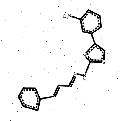 O=[N+]([O-])c1cccc(-c2csc(NN=CC=Cc3ccccc3)n2)c1